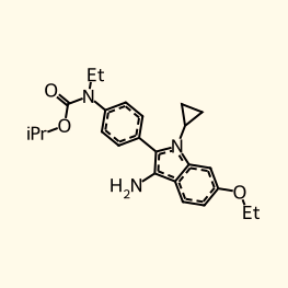 CCOc1ccc2c(N)c(-c3ccc(N(CC)C(=O)OC(C)C)cc3)n(C3CC3)c2c1